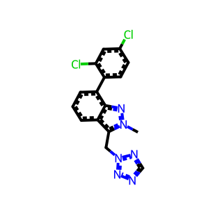 Cn1nc2c(-c3ccc(Cl)cc3Cl)cccc2c1Cn1ncnn1